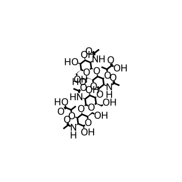 CC(=O)N[C@@H]1[C@@H](OC(C)C(=O)O)[C@H](O[C@@H]2O[C@H](CO)[C@@H](O[C@@H]3O[C@H](CO)[C@@H](O[C@@H]4O[C@H](CO)[C@@H](O)[C@H](O)[C@H]4NC(C)=O)[C@H](OC(C)C(=O)O)[C@H]3NC(C)=O)[C@H](O)[C@H]2NC(C)=O)[C@@H](CO)O[C@H]1O